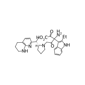 CCc1[nH]c2ccccc2c1C(N)(C(=O)CN1CCC[C@@H]1C(C)c1ccc2c(n1)NCCC2)C(=O)C(=O)O